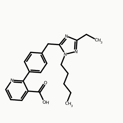 CCCCCn1nc(CC)nc1Cc1ccc(-c2ncccc2C(=O)O)cc1